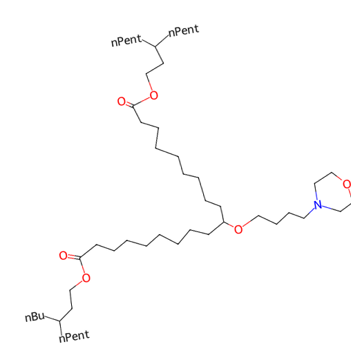 CCCCCC(CCCC)CCOC(=O)CCCCCCCCC(CCCCCCCCC(=O)OCCC(CCCCC)CCCCC)OCCCCN1CCOCC1